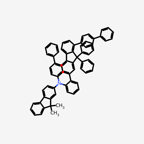 CC1(C)c2ccccc2-c2ccc(N(c3ccc(-c4ccccc4)cc3)c3ccccc3-c3ccc4c(c3)C(c3ccccc3)(c3ccccc3)c3c(-c5ccc(-c6ccccc6)cc5)cccc3-4)cc21